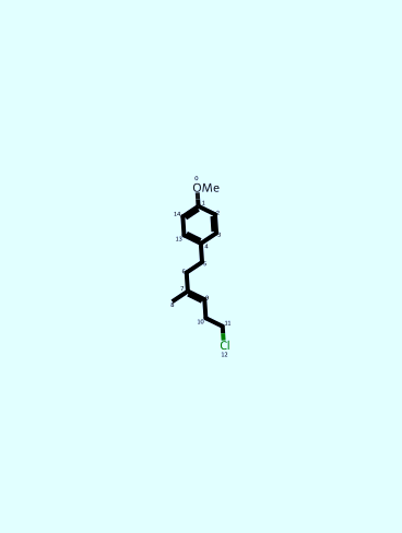 COc1ccc(CCC(C)=CCCCl)cc1